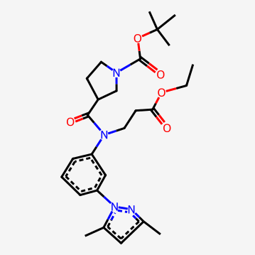 CCOC(=O)CCN(C(=O)C1CCN(C(=O)OC(C)(C)C)C1)c1cccc(-n2nc(C)cc2C)c1